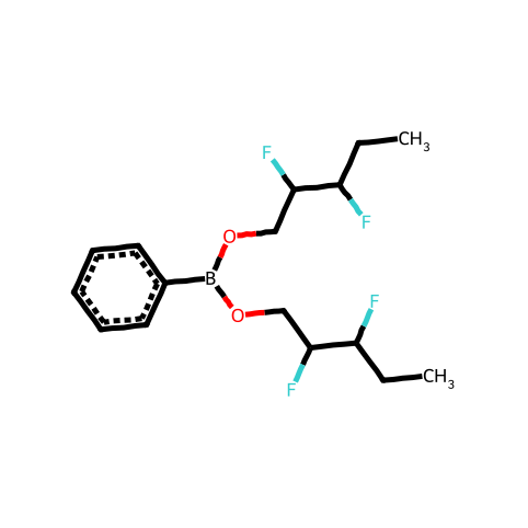 CCC(F)C(F)COB(OCC(F)C(F)CC)c1ccccc1